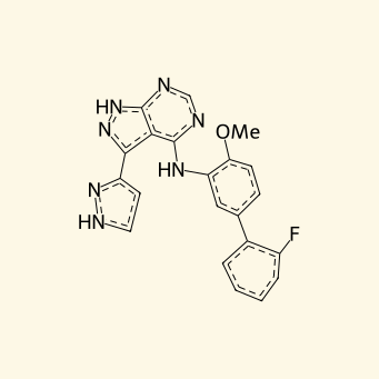 COc1ccc(-c2ccccc2F)cc1Nc1ncnc2[nH]nc(-c3cc[nH]n3)c12